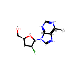 OC[C@@H]1C[C@H](F)[C@H](n2cnc3c(C(F)(F)F)ncnc32)O1